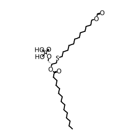 CCCCCCCCCCCCCCC(=O)O[C@H](COP(=O)(O)O)CSCCCCCCCCCCCCOC=O